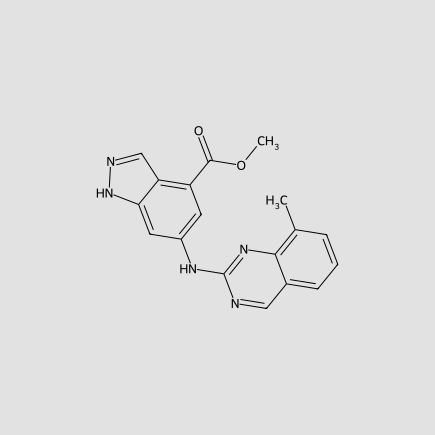 COC(=O)c1cc(Nc2ncc3cccc(C)c3n2)cc2[nH]ncc12